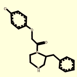 O=C(COc1ccc(Cl)cc1)N1CCNCC1Cc1ccccc1